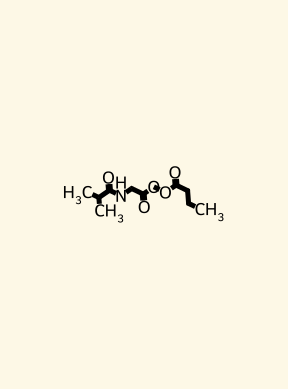 CCCC(=O)OOC(=O)CNC(=O)C(C)C